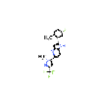 Cc1ccc(F)cc1-c1cc2nc(-c3cc(C(F)(F)F)nn3C)ccc2[nH]1